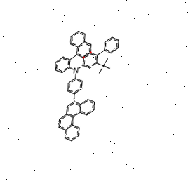 CC(C)(C)c1cc(N(c2ccc(-c3cc4ccc5ccccc5c4c4ccccc34)cc2)c2ccccc2-c2cccc3ccccc23)ccc1-c1ccccc1